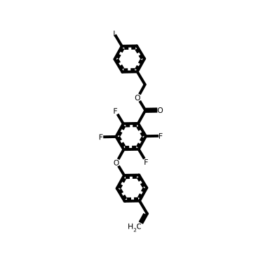 C=Cc1ccc(Oc2c(F)c(F)c(C(=O)OCc3ccc(I)cc3)c(F)c2F)cc1